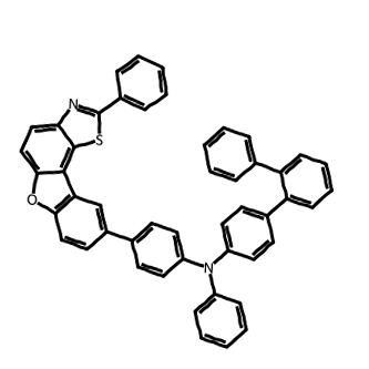 c1ccc(-c2nc3ccc4oc5ccc(-c6ccc(N(c7ccccc7)c7ccc(-c8ccccc8-c8ccccc8)cc7)cc6)cc5c4c3s2)cc1